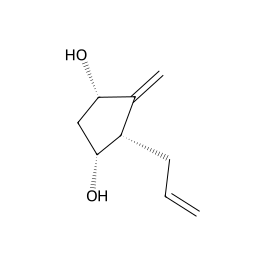 C=CC[C@H]1C(=C)[C@@H](O)C[C@H]1O